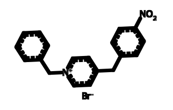 O=[N+]([O-])c1ccc(Cc2cc[n+](Cc3ccccc3)cc2)cc1.[Br-]